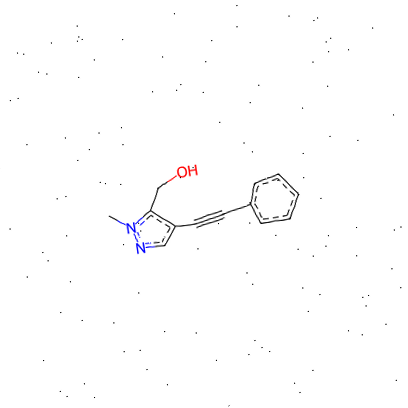 Cn1ncc(C#Cc2ccccc2)c1CO